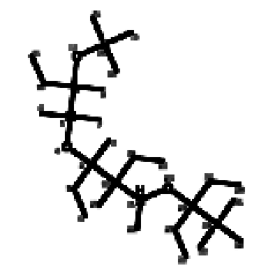 CCC(C)(O[Si](C)(C)C(C)(CC)O[Si](C)(C)C)C(C)(CC)[SiH](C)OC(CC)(CC)[Si](C)(C)C